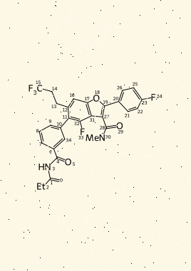 C=C(CC)NC(=O)c1cccc(-c2c(CCC(F)(F)F)cc3oc(-c4ccc(F)cc4)c(C(=O)NC)c3c2F)c1